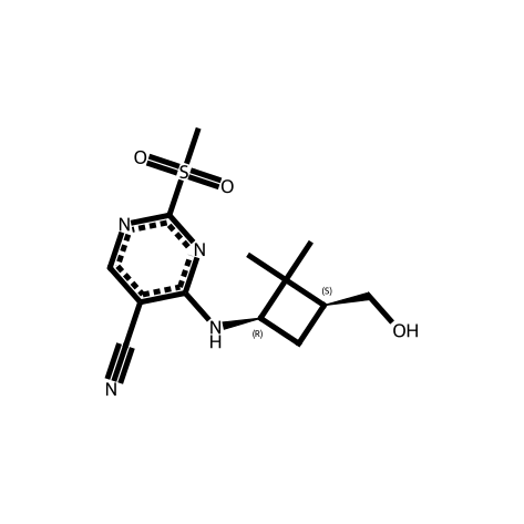 CC1(C)[C@@H](CO)C[C@H]1Nc1nc(S(C)(=O)=O)ncc1C#N